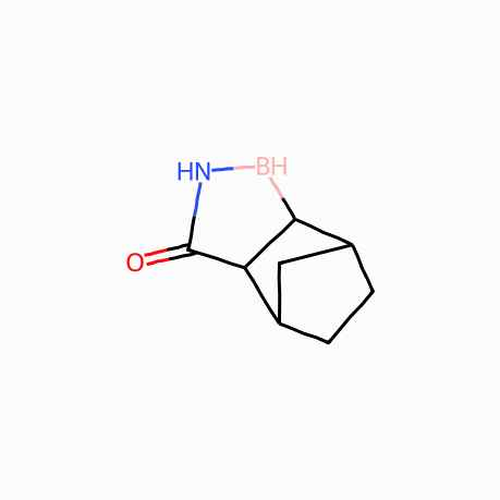 O=C1NBC2C3CCC(C3)C12